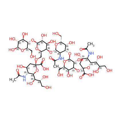 CC(=O)N[C@H]1[C@H](O[C@@H]2[C@H](O)[C@@H](O)[C@H](O[C@H]3[C@H](O)[C@@H](O)[C@H](O)O[C@@H]3CO)O[C@@H]2CO[C@]2(C(=O)O)C[C@H](O)[C@@H](NC(C)=O)[C@H]([C@H](O)[C@H](O)CO)O2)O[C@H](CO)[C@H](O)[C@@H]1O[C@@H]1O[C@H](CO)[C@H](O)[C@H](O[C@]2(C(=O)O)C[C@H](O)[C@@H](NC(C)=O)[C@H]([C@H](O)[C@H](O)CO)O2)[C@H]1O